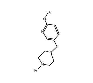 CC(C)Oc1ccc(CN2CCN(C(C)C)CC2)cn1